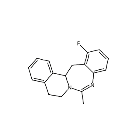 CC1=Nc2cccc(F)c2CC2c3ccccc3CCN12